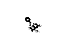 Cc1c(O)c2cc(Br)cnc2n(OCc2ccccc2)c1=O